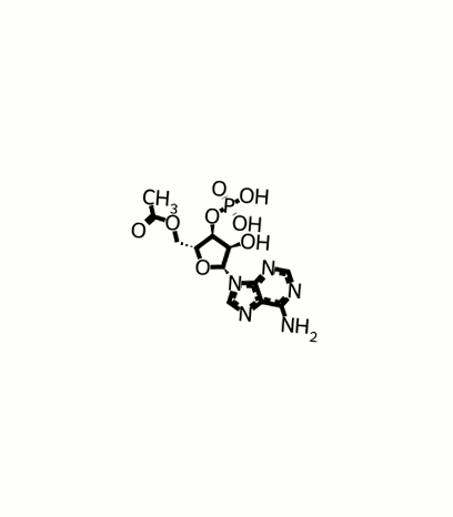 CC(=O)OC[C@H]1O[C@@H](n2cnc3c(N)ncnc32)[C@H](O)[C@@H]1OP(=O)(O)O